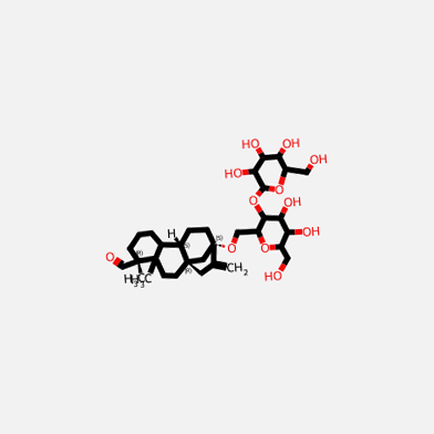 C=C1C[C@@]23CCC4(C)C(CCC[C@@]4(C)C=O)[C@@H]2CC[C@]1(OCC1OC(CO)C(O)C(O)C1OC1OC(CO)C(O)C(O)C1O)C3